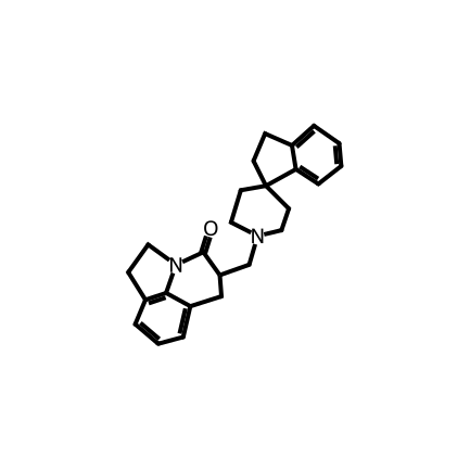 O=C1C(CN2CCC3(CCc4ccccc43)CC2)Cc2cccc3c2N1CC3